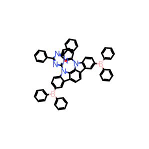 c1ccc(B(c2ccccc2)c2ccc3c(c2)c2ccc4c5cc(B(c6ccccc6)c6ccccc6)ccc5n(-c5nc(-c6ccccc6)nc(-c6ccccc6)n5)c4c2n3-c2ccccc2)cc1